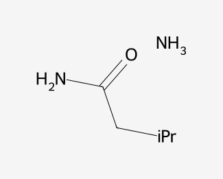 CC(C)CC(N)=O.N